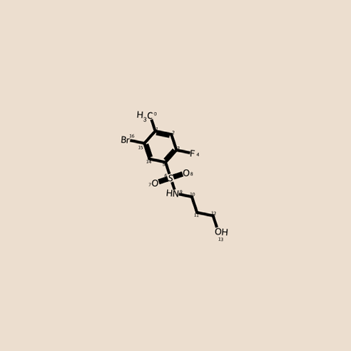 Cc1cc(F)c(S(=O)(=O)NCCCO)cc1Br